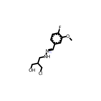 COc1cc(/C=N/NCC(CO)CCl)ccc1F